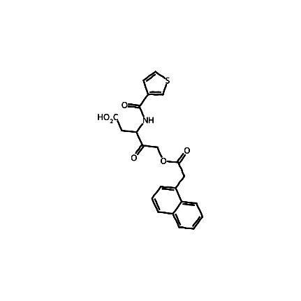 O=C(O)CC(NC(=O)c1ccsc1)C(=O)COC(=O)Cc1cccc2ccccc12